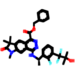 C[C@@H](Nc1nnc(C(=O)OCc2ccccc2)c2cc3c(cc12)N(C)C(=O)C3(C)C)c1cccc(C(F)(F)C(C)(C)O)c1F